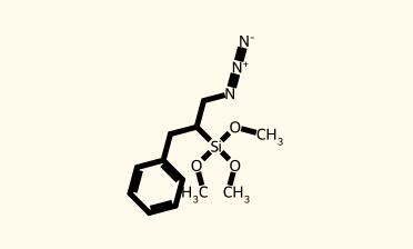 CO[Si](OC)(OC)C(CN=[N+]=[N-])Cc1ccccc1